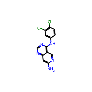 Nc1cc2ncnc(Nc3ccc(Cl)c(Cl)c3)c2cn1